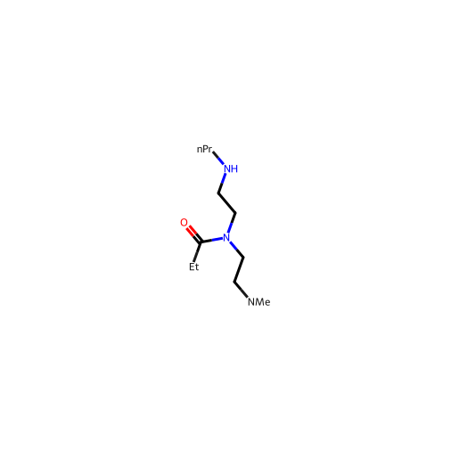 CCCNCCN(CCNC)C(=O)CC